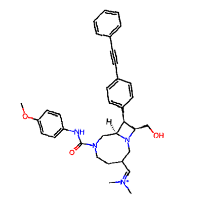 COc1ccc(NC(=O)N2CCC(C=[N+](C)C)CN3[C@H](CO)[C@H](c4ccc(C#Cc5ccccc5)cc4)[C@@H]3C2)cc1